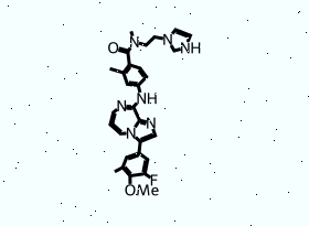 COc1c(C)cc(-c2cnc3n2C=C=CN=C3Nc2ccc(C(=O)N(C)CCN3C=CNC3)c(C)c2)cc1F